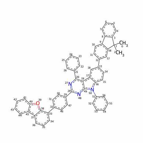 CC1(C)c2ccccc2-c2ccc(-c3ccc4c(c3)c3c(-c5ccccc5)nc(-c5ccc(-c6cccc7c6oc6ccccc67)cc5)nc3n4-c3ccccc3)cc21